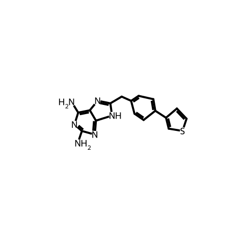 Nc1nc(N)c2nc(Cc3ccc(-c4ccsc4)cc3)[nH]c2n1